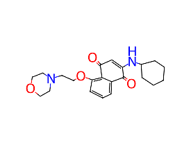 O=C1C(NC2CCCCC2)=CC(=O)c2c(OCCN3CCOCC3)cccc21